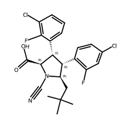 CC(C)(C)C[C@@H]1[C@@H](c2ccc(Cl)cc2F)[C@@H](c2cccc(Cl)c2F)[C@H](C(=O)O)N1C#N